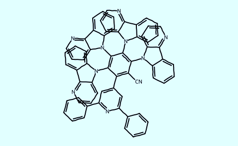 N#Cc1c(-c2cc(-c3ccccc3)nc(-c3ccccc3)c2)c(-n2c3ccccc3c3ncccc32)c(-n2c3ccccc3c3ncccc32)c(-n2c3ccccc3c3ncccc32)c1-n1c2ccccc2c2ncccc21